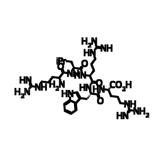 CC(C)C[C@H](NC(=O)[C@@H](N)CCCNC(=N)N)C(=O)N[C@@H](CCCNC(=N)N)C(=O)N[C@@H](Cc1c[nH]c2ccccc12)C(=O)N[C@@H](CCCNC(=N)N)C(=O)O